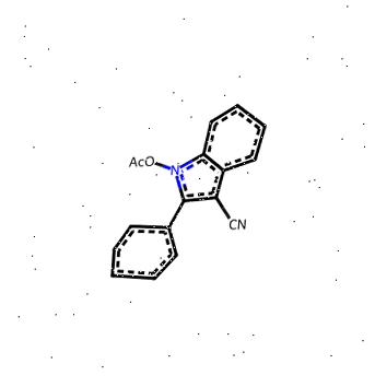 CC(=O)On1c(-c2ccccc2)c(C#N)c2ccccc21